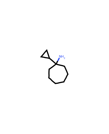 NC1(C2CC2)CCCCCC1